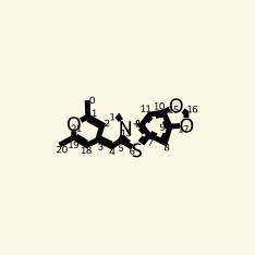 CC1=CC(=Cc2sc3cc4c(cc3[n+]2C)OCO4)C=C(C)O1